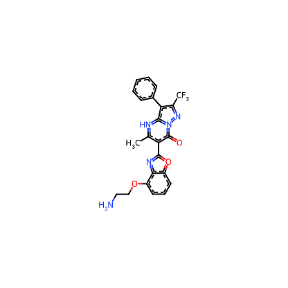 Cc1[nH]c2c(-c3ccccc3)c(C(F)(F)F)nn2c(=O)c1-c1nc2c(OCCN)cccc2o1